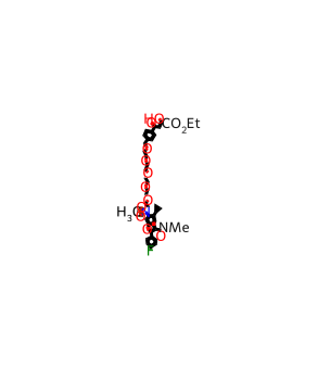 CCOC(=O)C(O)=CC(=O)c1ccc(COCCOCCOCCOCCOCCN(c2cc3oc(-c4ccc(F)cc4)c(C(=O)NC)c3cc2C2CC2)S(C)(=O)=O)cc1